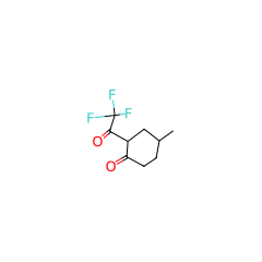 CC1CCC(=O)C(C(=O)C(F)(F)F)C1